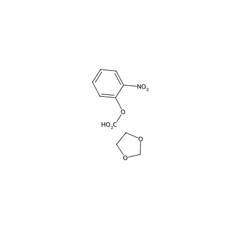 C1COCO1.O=C(O)Oc1ccccc1[N+](=O)[O-]